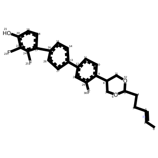 C/C=C/CCC1OCC(c2ccc(-c3ccc(-c4ccc(O)c(F)c4F)cc3)cc2F)CO1